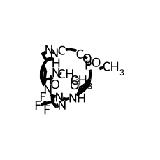 CCOP1Cc2ccc(c(OC)c2)Nc2ncc(C(F)(F)F)c(n2)Nc2ccc(cc2C(=O)NC)-c2cnn(c2)CCCCO1